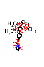 CC(=O)OC[C@H]1O[C@@H](c2ccc(COC(=O)ON3C(=O)CCC3=O)cc2)[C@H](OC(C)=O)[C@@H](OC(C)=O)[C@H]1OC(C)=O